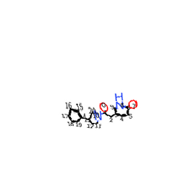 O=C(Cc1ccc(=O)[nH]c1)N1CCC(c2ccccc2)C1